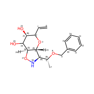 C=CC1O[C@@H]2[C@@H]([C@@H](C)OCc3ccccc3)NO[C@H]2C(O)[C@H]1O